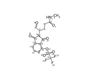 CNC(=O)CCC(C=O)N1C(=O)c2cccc(OS(=O)(=O)C(F)(F)F)c2C1=O